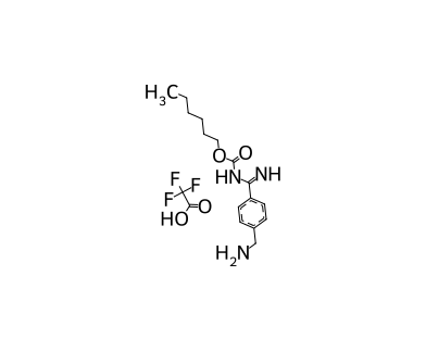 CCCCCCOC(=O)NC(=N)c1ccc(CN)cc1.O=C(O)C(F)(F)F